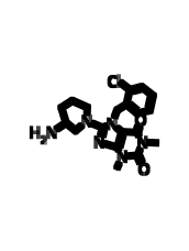 Cn1c(=O)c2c(nc(N3CCCC(N)C3)n2Cc2ccccc2Cl)n(C)c1=O